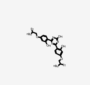 CCCCC(CC)COc1ccc(-c2nc(O)nc(-c3ccc(OCC(CC)CCCC)cc3O)n2)c(O)c1